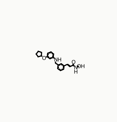 O=C(/C=C/c1cccc(CNc2cccc(OC3CCCC3)c2)c1)NO